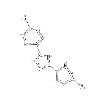 Cc1ccc(-c2coc(-c3ccc(C)cn3)n2)nc1